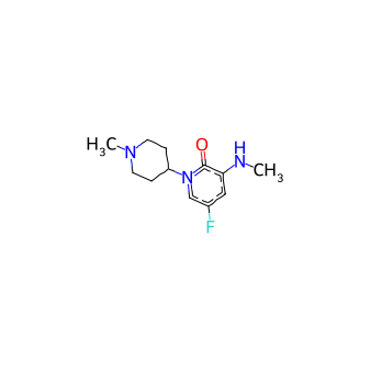 CNc1cc(F)cn(C2CCN(C)CC2)c1=O